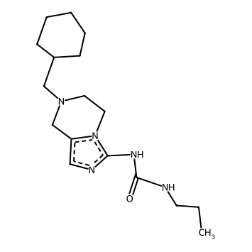 CCCNC(=O)Nc1ncc2n1CCN(CC1CCCCC1)C2